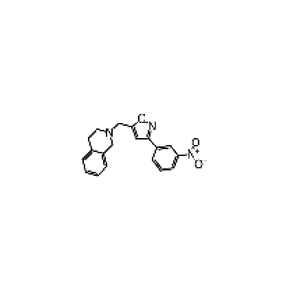 O=[N+]([O-])c1cccc(-c2cc(CN3CCc4ccccc4C3)on2)c1